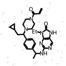 C=CC(=O)N1CCN(C(CC2CC2)c2ccc(C(C)Nc3ncc4[nH]c(=O)n(CC)c4n3)cc2)CC1